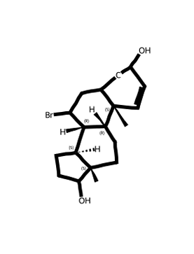 C[C@]12C=CC(O)CC1CC(Br)[C@@H]1[C@H]2CC[C@]2(C)C(O)CC[C@@H]12